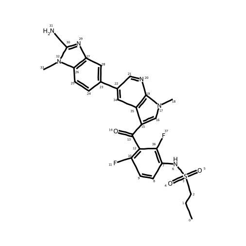 CCCS(=O)(=O)Nc1ccc(F)c(C(=O)c2cn(C)c3ncc(-c4ccc5c(c4)nc(N)n5C)cc23)c1F